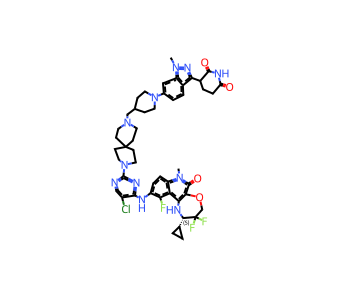 Cn1nc(C2CCC(=O)NC2=O)c2ccc(N3CCC(CN4CCC5(CC4)CCN(c4ncc(Cl)c(Nc6ccc7c(c6F)c6c(c(=O)n7C)OCC(F)(F)[C@H](C7CC7)N6)n4)CC5)CC3)cc21